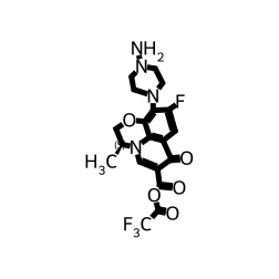 C[C@H]1COc2c(N3CCN(N)CC3)c(F)cc3c(=O)c(C(=O)OC(=O)C(F)(F)F)cn1c23